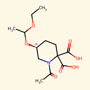 CCOC(C)O[C@H]1CCC(C(=O)O)(C(=O)O)N(C(C)=O)C1